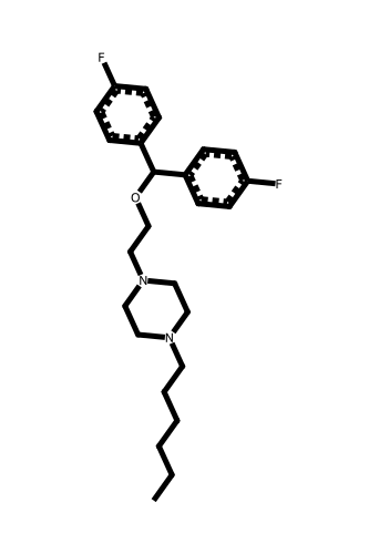 CCCCCCN1CCN(CCOC(c2ccc(F)cc2)c2ccc(F)cc2)CC1